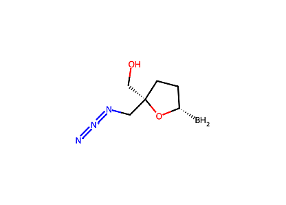 B[C@H]1CC[C@](CO)(CN=[N+]=[N-])O1